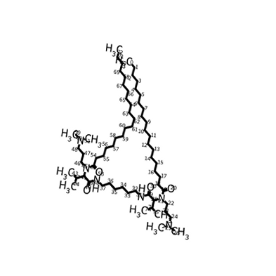 CCCCCCCCCCCCCCCCCCCC(=O)N(CCCN(C)C)C(C(=O)NCCCCCCNC(=O)C(C(C)C)N(CCCN(C)C)C(=O)CCCCCCCCCCCCCCCCCCC)C(C)C